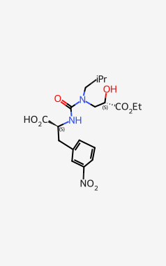 CCOC(=O)[C@@H](O)CN(CC(C)C)C(=O)N[C@@H](Cc1cccc([N+](=O)[O-])c1)C(=O)O